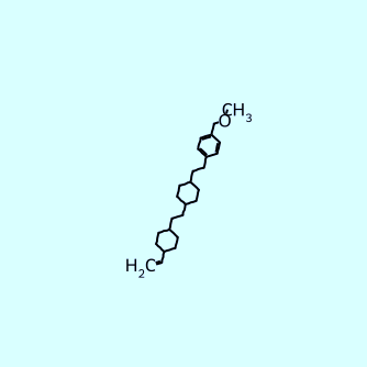 C=CC1CCC(CCC2CCC(CCc3ccc(COC)cc3)CC2)CC1